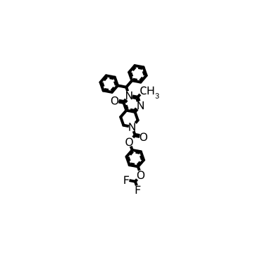 Cc1nc2c(c(=O)n1C(c1ccccc1)c1ccccc1)CCN(C(=O)Oc1ccc(OC(F)F)cc1)C2